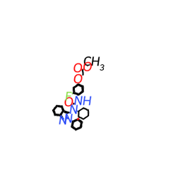 COC(=O)COc1ccc(NC(=O)N(c2c3ccccc3nn2-c2ccccc2)C2CCCCC2)c(F)c1